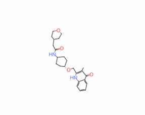 Cc1c(CO[C@H]2CC[C@H](NC(=O)CC3CCOCC3)CC2)[nH]c2ccccc2c1=O